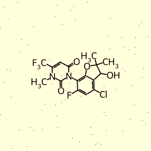 Cn1c(C(F)(F)F)cc(=O)n(-c2c(F)cc(Cl)c3c2OC(C)(C)C3O)c1=O